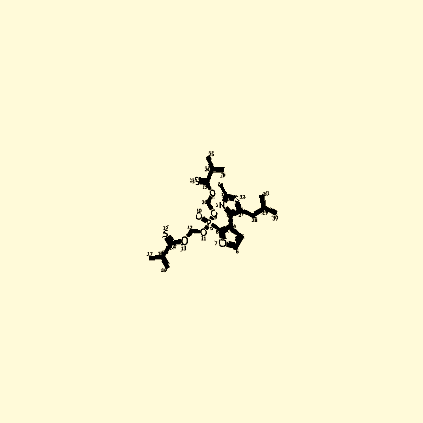 Cc1nc(-c2ccoc2P(=O)(OCOC(=S)C(C)C)OCOC(=S)C(C)C)c(CC(C)C)s1